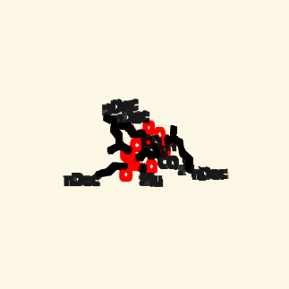 CCCCCCCCCCCCCCC(C)C(=O)OC(COC(=O)CCCCCCCCCCCCC)(C(=O)O)C(OC(=O)C(C)(C)C)C(COC(=O)CCCCCCCCCCCCC)(OC(=O)C(C)CCCCCCCCCCCCCC)C(=O)O